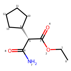 CCOC(=O)[C@H](C(N)=O)C1CCCC1